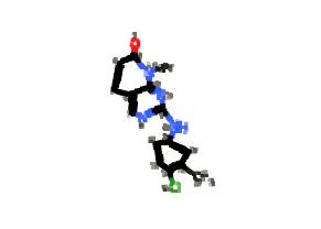 CC(C)n1c(=O)ccc2cnc(Nc3ccc(Cl)c(C(F)(F)F)c3)nc21